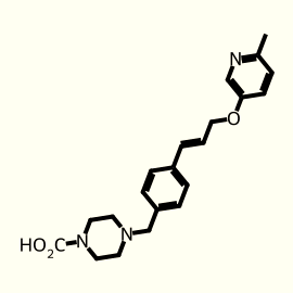 Cc1ccc(OCC=Cc2ccc(CN3CCN(C(=O)O)CC3)cc2)cn1